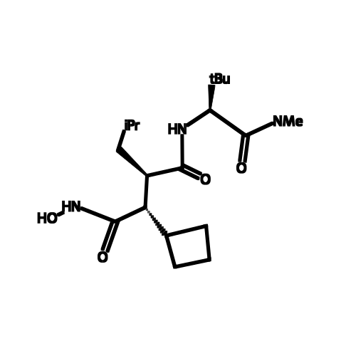 CNC(=O)[C@@H](NC(=O)[C@H](CC(C)C)[C@@H](C(=O)NO)C1CCC1)C(C)(C)C